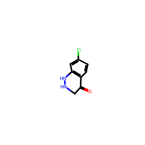 O=C1[CH]NNc2cc(Cl)ccc21